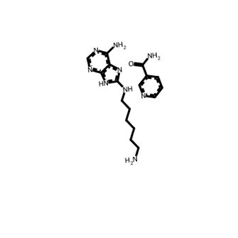 NC(=O)c1cccnc1.NCCCCCCNc1nc2c(N)ncnc2[nH]1